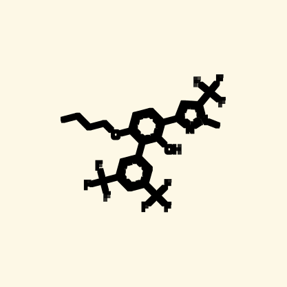 CCCCOc1ccc(-c2cc(C(F)(F)F)n(C)n2)c(O)c1-c1cc(C(F)(F)F)cc(C(F)(F)F)c1